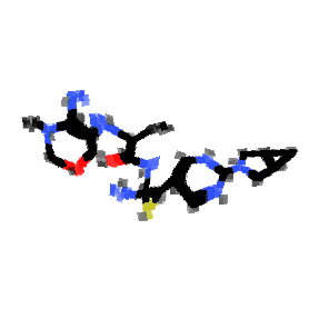 C[C@H](NC1=C(N)N(C)COC1)C(=O)NC1(N)S[C@@H]1c1cnc(N2CC3CC3C2)nc1